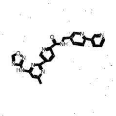 Cc1cc(Nc2ncon2)nc(-c2ccc(C(=O)NCc3ccc(-c4cccnc4)nc3)nc2)n1